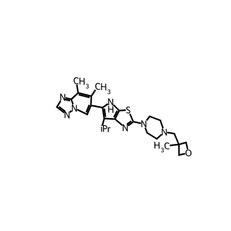 Cc1c(-c2[nH]c3sc(N4CCN(CC5(C)COC5)CC4)nc3c2C(C)C)cn2ncnc2c1C